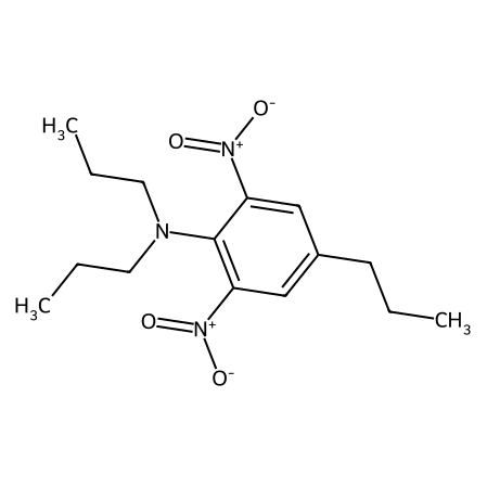 CCCc1cc([N+](=O)[O-])c(N(CCC)CCC)c([N+](=O)[O-])c1